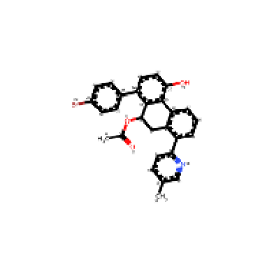 CC(=O)OC1Cc2c(-c3ccc(C)cn3)cccc2-c2c(O)ccc(-c3ccc(Br)cc3)c21